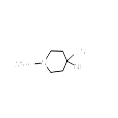 CON1CCC(N)(C#N)CC1